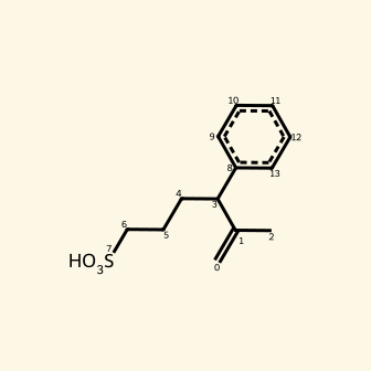 C=C(C)C(CCCS(=O)(=O)O)c1ccccc1